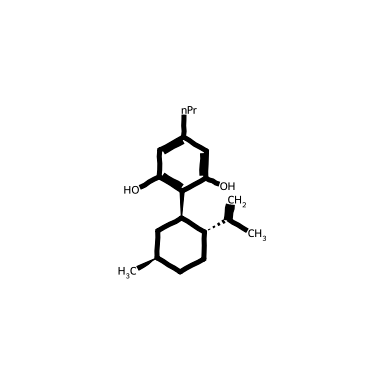 C=C(C)[C@@H]1CC[C@@H](C)C[C@H]1c1c(O)cc(CCC)cc1O